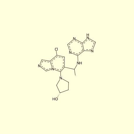 CC(Nc1ncnc2[nH]cnc12)c1cc(Cl)c2cncn2c1N1CC[C@H](O)C1